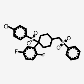 O=S(=O)(CC1CCC(c2cc(F)ccc2F)(S(=O)(=O)c2ccc(Cl)cc2)CC1)c1ccccc1